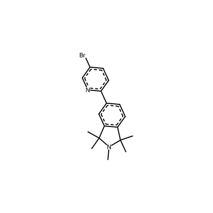 CN1C(C)(C)c2ccc(-c3ccc(Br)cn3)cc2C1(C)C